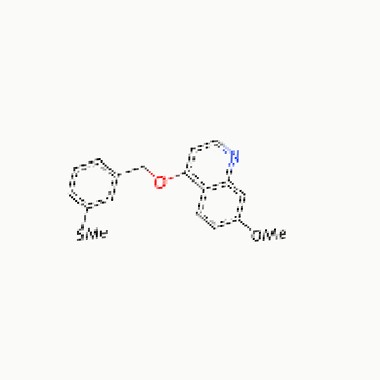 COc1ccc2c(OCc3cccc(SC)c3)ccnc2c1